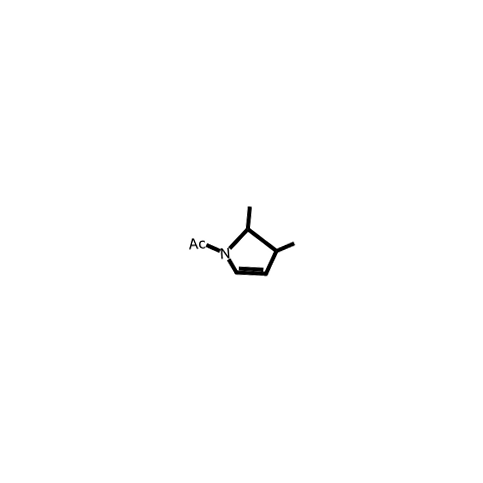 CC(=O)N1C=CC(C)C1C